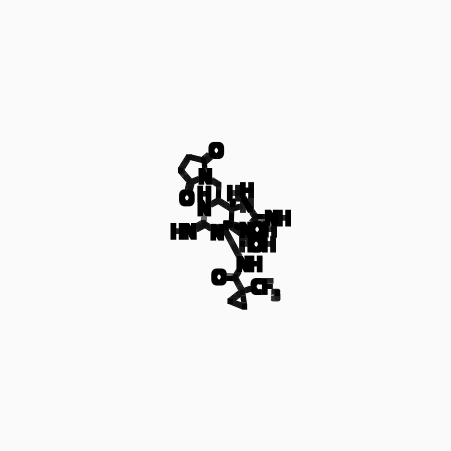 N=C1N[C@H]2C(CN3C(=O)CCC3=O)NC(=N)N3CC(NC(=O)C4(C(F)(F)F)CC4)C(O)(O)[C@]23N1